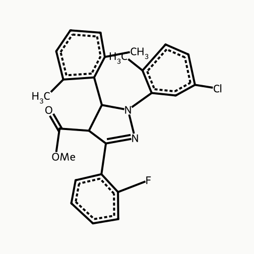 COC(=O)C1C(c2ccccc2F)=NN(c2cc(Cl)ccc2C)C1c1c(C)cccc1C